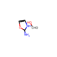 NC1NC=CO1.O=CO